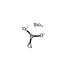 [Ba+2].[O-]B([O-])Cl